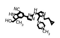 CN1CCN(Cc2c(Nc3nccc(-c4cc(C#N)c5c(c4)C(C)(CO)CN5)n3)cnn2CCC2CC2)CC1